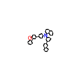 c1cc(-c2ccc3ccccc3c2)cc(N(c2ccc(-c3ccc4oc5ccccc5c4c3)cc2)c2cccc3ccccc23)c1